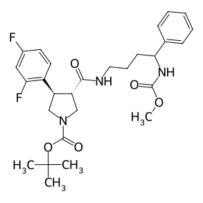 COC(=O)NC(CCCNC(=O)[C@@H]1CN(C(=O)OC(C)(C)C)C[C@H]1c1ccc(F)cc1F)c1ccccc1